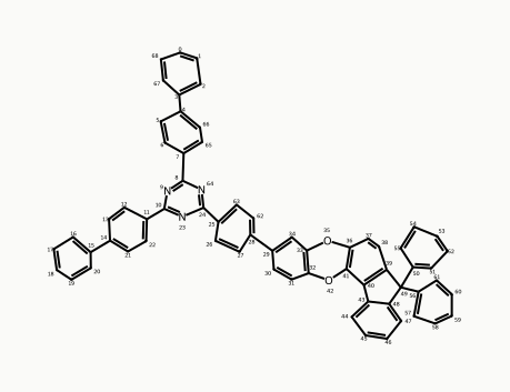 c1ccc(-c2ccc(-c3nc(-c4ccc(-c5ccccc5)cc4)nc(-c4ccc(-c5ccc6c(c5)Oc5ccc7c(c5O6)-c5ccccc5C7(c5ccccc5)c5ccccc5)cc4)n3)cc2)cc1